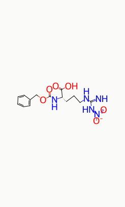 N=C(NCCC[C@H](NC(=O)OCc1ccccc1)C(=O)O)N[N+](=O)[O-]